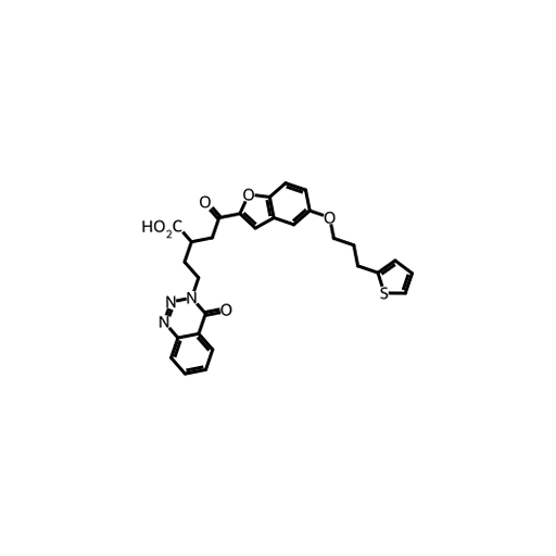 O=C(CC(CCn1nnc2ccccc2c1=O)C(=O)O)c1cc2cc(OCCCc3cccs3)ccc2o1